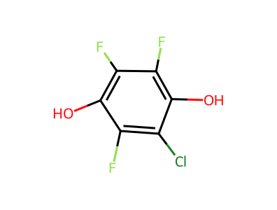 Oc1c(F)c(F)c(O)c(Cl)c1F